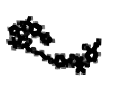 C[C@H](NC(=O)[C@@H]1CCCN1C(=O)[C@@H](NC(=O)COCCCCOc1ccc(C(=O)N[C@H]2C(C)(C)[C@H](Oc3ccc(C#N)c(Cl)c3)C2(C)C)cc1)C(C)(C)C)c1ccc(-c2nncs2)cc1